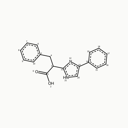 O=C(O)C(Cc1ccccc1)c1nc(-c2ccccc2)c[nH]1